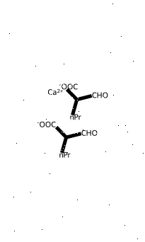 CCCC(C=O)C(=O)[O-].CCCC(C=O)C(=O)[O-].[Ca+2]